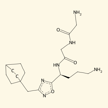 NCCC[C@H](NC(=O)CNC(=O)CN)c1nc(CC23CCC(CC2)CC3)no1